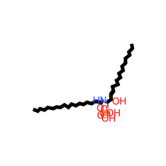 CCCCCCCCCCCCC/C=C/[C@@H](O)[C@H](COP(=O)(O)O)NC(=O)CCCCCCCCCCCCCCCCC